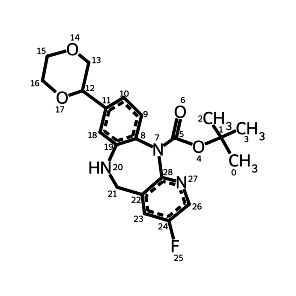 CC(C)(C)OC(=O)N1c2ccc(C3COCCO3)cc2NCc2cc(F)cnc21